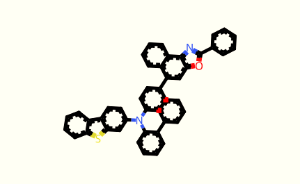 c1ccc(-c2nc3c(cc(-c4ccc(N(c5ccc6c(c5)sc5ccccc56)c5ccccc5-c5ccccc5)cc4)c4ccccc43)o2)cc1